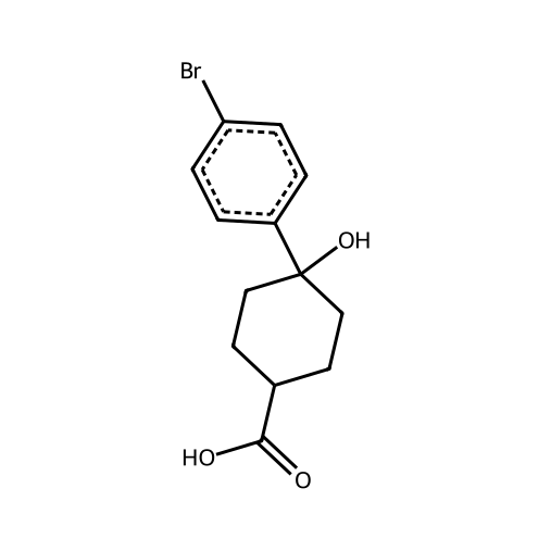 O=C(O)C1CCC(O)(c2ccc(Br)cc2)CC1